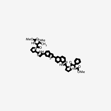 COC(=O)NC(C(=O)N1CCCC1c1nc2ccc3cc(-c4cc5ccc(-c6cnc(C7CCCN7C(=O)C(NC(=O)OC)C(C)OC)[nH]6)cc5s4)ccc3c2[nH]1)c1ccccc1